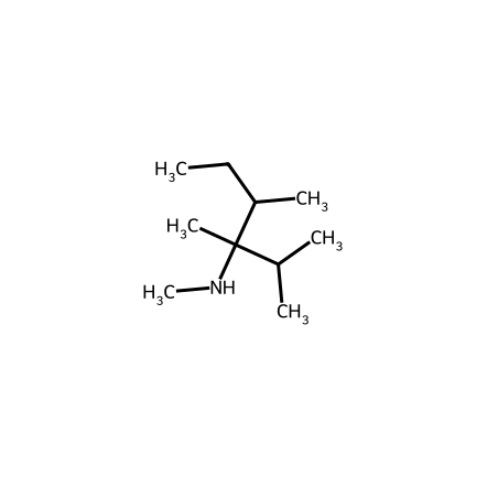 CCC(C)C(C)(NC)C(C)C